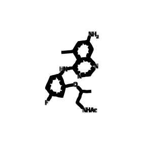 CC(=O)NCC(C)Oc1cc(F)ccc1Nc1ncnc2cc(N)cc(C)c12